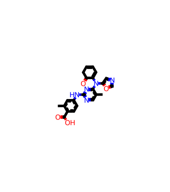 Cc1cc(Nc2ncc(C)c(N(C3=CC=CCC3=O)c3cnco3)n2)ccc1C(=O)O